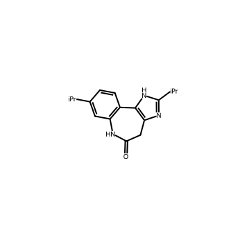 CC(C)c1ccc2c(c1)NC(=O)Cc1nc(C(C)C)[nH]c1-2